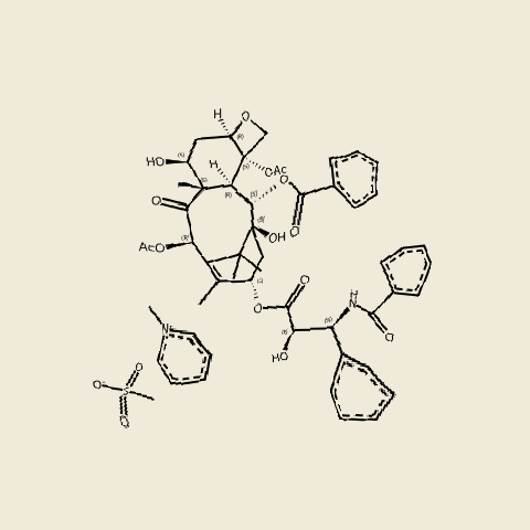 CC(=O)O[C@H]1C(=O)[C@@]2(C)[C@H]([C@H](OC(=O)c3ccccc3)[C@]3(O)C[C@H](OC(=O)[C@H](O)[C@@H](NC(=O)c4ccccc4)c4ccccc4)C(C)=C1C3(C)C)[C@]1(OC(C)=O)CO[C@@H]1C[C@@H]2O.CS(=O)(=O)[O-].C[n+]1ccccc1